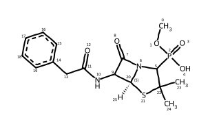 COP(=O)(O)C1N2C(=O)C(NC(=O)Cc3ccccc3)[C@@H]2SC1(C)C